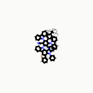 CC(C)(C)c1ccc(-c2c(-n3c4c(c5ccccc53)CCC=C4)c(C#N)c(-n3c4c(c5c6sc7ccccc7c6c6c(c7ccccc7n6-c6ccccc6)c53)C=CCC4)c(C#N)c2-n2c3ccccc3c3ccccc32)cc1